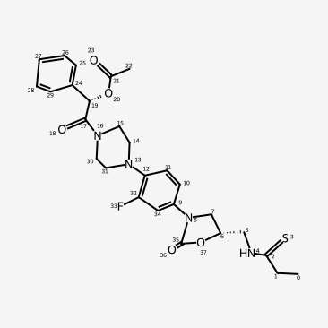 CCC(=S)NC[C@H]1CN(c2ccc(N3CCN(C(=O)[C@@H](OC(C)=O)c4ccccc4)CC3)c(F)c2)C(=O)O1